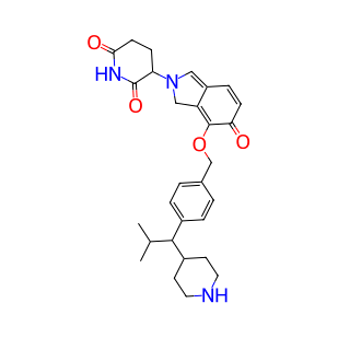 CC(C)C(c1ccc(COC2=C3CN(C4CCC(=O)NC4=O)C=C3C=CC2=O)cc1)C1CCNCC1